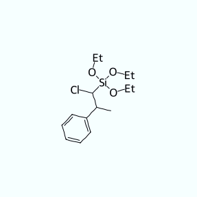 CCO[Si](OCC)(OCC)C(Cl)C(C)c1ccccc1